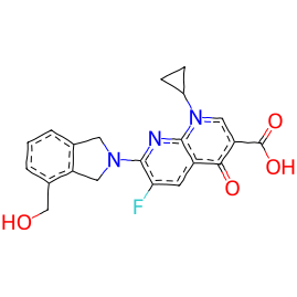 O=C(O)c1cn(C2CC2)c2nc(N3Cc4cccc(CO)c4C3)c(F)cc2c1=O